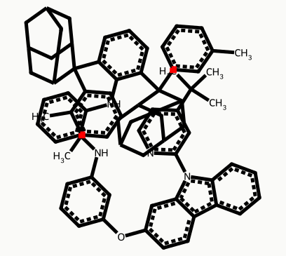 Cc1cccc(C2(c3cccc(C4(c5cccc(C)c5C)C5CC6CC(C5)CC4C6)c3Nc3ccccc3Nc3cccc(Oc4ccc5c6ccccc6n(-c6cc(C(C)(C)C)ccn6)c5c4)c3)C3CC4CC(C3)CC2C4)c1